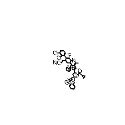 Cc1nc2c(F)c(-c3cccc(Cl)c3Cl)c(CCC#N)cc2c2c1cc(C1CC(OCc3ccccc3S(C)(=O)=O)CN1C(=O)C1CC1)n2C1C2CNC1C2